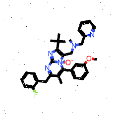 COc1cccc(C2=C(C)C(Cc3ccccc3F)=NC3=NC(C(C)(C)C)=C(CN(C)Cc4ccccn4)[N+]32[O-])c1